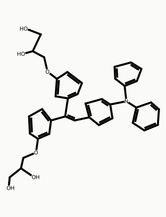 OCC(O)COc1cccc(C(=Cc2ccc(N(c3ccccc3)c3ccccc3)cc2)c2cccc(OCC(O)CO)c2)c1